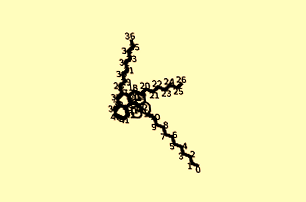 CCCCCCCCCCCCOS(=O)(=O)c1c(CCCCCCCCC)c(CCCCCCCCC)cc2ccccc12